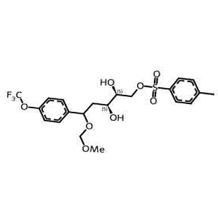 COCOC(C[C@H](O)[C@@H](O)COS(=O)(=O)c1ccc(C)cc1)c1ccc(OC(F)(F)F)cc1